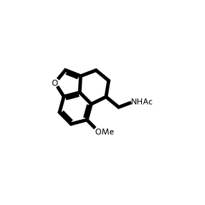 COc1ccc2occ3c2c1C(CNC(C)=O)CC3